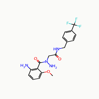 COc1cccc(N)c1C(=O)N(N)CC(=O)NCc1ccc(C(F)(F)F)cc1